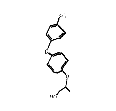 CC(CO)Oc1ccc(Oc2ccc(C(F)(F)F)cc2)cc1